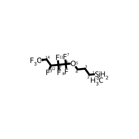 C[SiH2]CCCOC(F)(F)C(F)(F)C(F)CC(F)(F)F